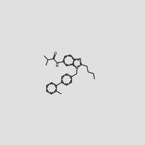 CCCCc1nc2ccc(NC(=O)C(C)C)cc2n1Cc1ccc(-c2ccccc2C)cc1